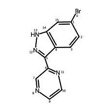 Brc1ccc2c(-c3cnccn3)n[nH]c2c1